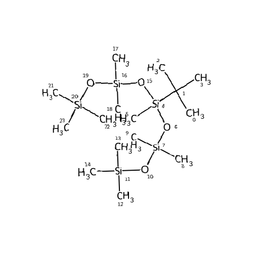 CC(C)(C)[Si](C)(O[Si](C)(C)O[Si](C)(C)C)O[Si](C)(C)O[Si](C)(C)C